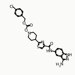 Nc1n[nH]c2ccc(NC(=O)c3csc(C4CCN(OC(=O)OCc5ccc(Cl)cc5)CC4)n3)cc12